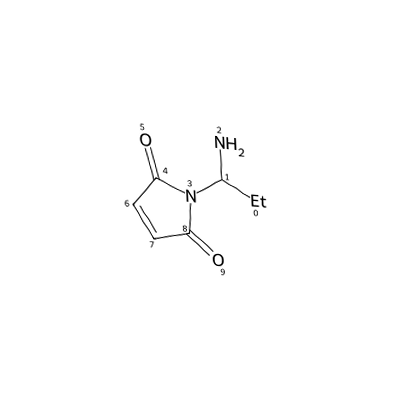 [CH2]CC(N)N1C(=O)C=CC1=O